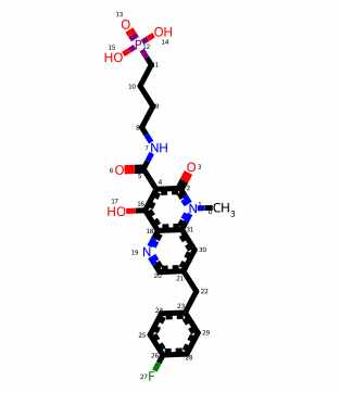 Cn1c(=O)c(C(=O)NCCCCP(=O)(O)O)c(O)c2ncc(Cc3ccc(F)cc3)cc21